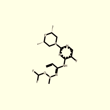 C=C/C(=N\N(C)OC(F)F)Nc1nc(N2C[C@@H](C)O[C@@H](C)C2)ncc1F